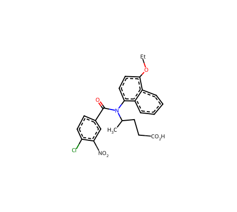 CCOc1ccc(N(C(=O)c2ccc(Cl)c([N+](=O)[O-])c2)C(C)CCC(=O)O)c2ccccc12